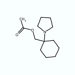 CC(=O)OCC1(N2CCCC2)CCCCC1